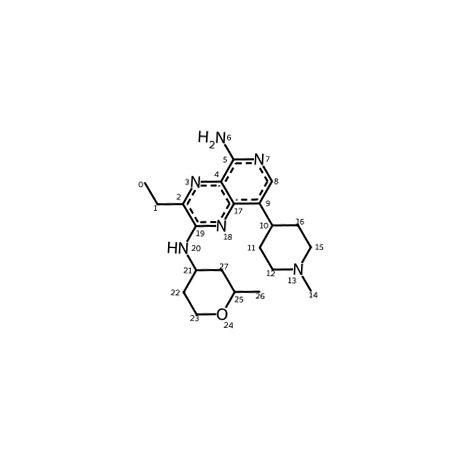 CCc1nc2c(N)ncc(C3CCN(C)CC3)c2nc1NC1CCOC(C)C1